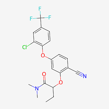 CCC(Oc1cc(Oc2ccc(C(F)(F)F)cc2Cl)ccc1C#N)C(=O)N(C)C